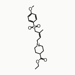 CCOC(=O)C1CCN(CC=C(C)CS(=O)(=O)c2ccc(OC)cc2)CC1